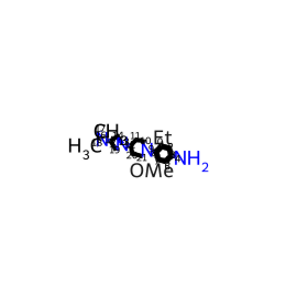 CCc1cc(N)c(OC)cc1N1CCC(N2CC(N(C)C)C2)CC1